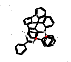 c1ccc(-c2nc(-c3ccccc3)nc(-c3cccc4c3C3(c5ccccc5-4)c4ccccc4N(c4ccccc4)c4ccccc43)n2)cc1